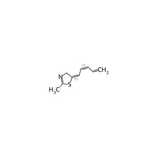 C=C/C=C\C=C1/CN=C(C)S1